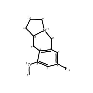 COc1cc(F)cc2c1CC1CCCN1C2